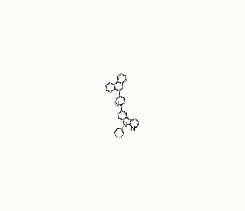 C1=CC(n2c3ccc(-c4ccc(-c5cc6ccccc6c6ccccc56)cn4)cc3c3cccnc32)=CCC1